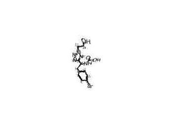 O=C(O)NC(Cc1ccc(Br)cc1)c1nnn(CCO)n1